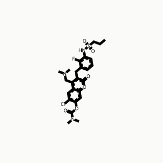 CCCS(=O)(=O)Nc1cccc(Cc2c(CN(C)C)c3cc(Cl)c(OC(=O)N(C)C)cc3oc2=O)c1F